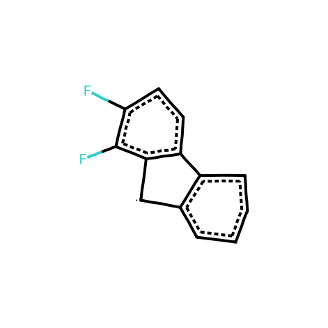 Fc1ccc2c(c1F)[CH]c1ccccc1-2